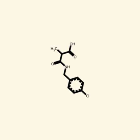 CC(C(=O)O)C(=O)NCc1ccc(Cl)cc1